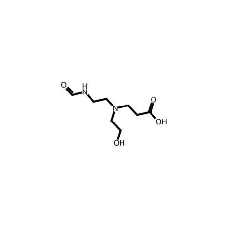 O=CNCCN(CCO)CCC(=O)O